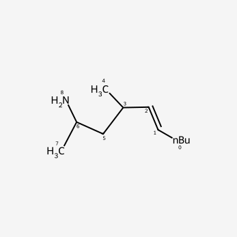 CCCC/C=C/C(C)CC(C)N